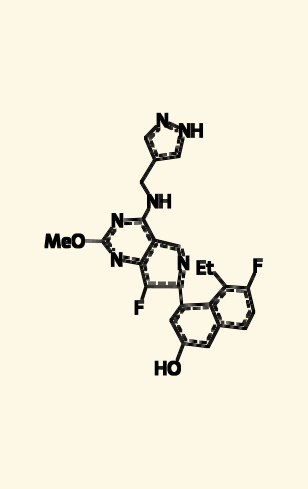 CCc1c(F)ccc2cc(O)cc(-c3ncc4c(NCc5cn[nH]c5)nc(OC)nc4c3F)c12